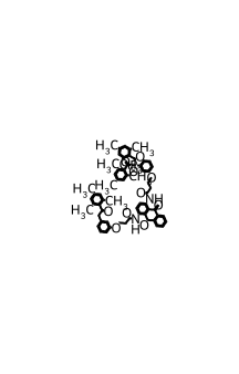 Cc1cc(C)c(C(=O)Cc2cccc(OCCC(=O)Nc3ccc(NC(=O)CCOc4cccc(P(=O)(C(=O)c5c(C)cc(C)cc5C)C(=O)c5c(C)cc(C)cc5C)c4)c4c3C(=O)c3ccccc3C4=O)c2)c(C)c1